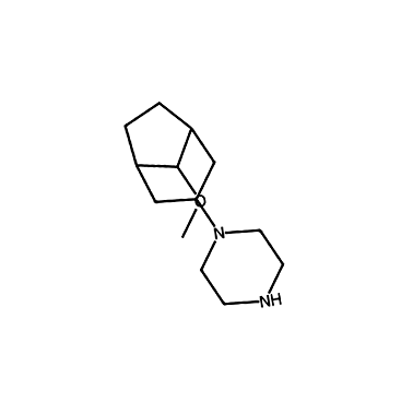 COC1C2CCC1CC(N1CCNCC1)C2